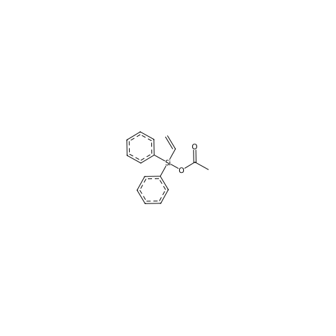 C=C[Si](OC(C)=O)(c1ccccc1)c1ccccc1